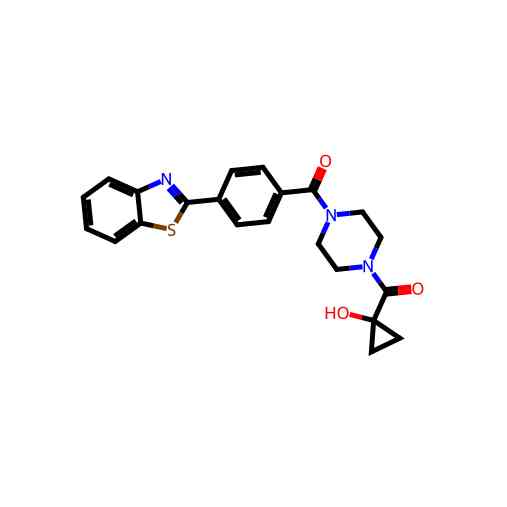 O=C(c1ccc(-c2nc3ccccc3s2)cc1)N1CCN(C(=O)C2(O)CC2)CC1